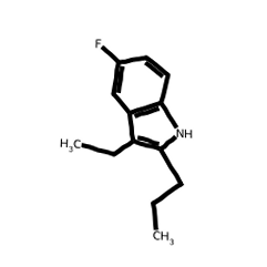 CCCc1[nH]c2ccc(F)cc2c1CC